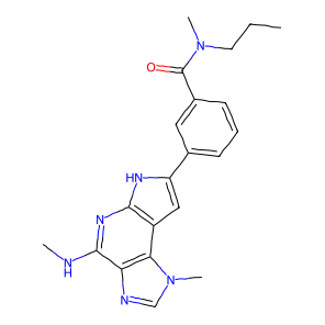 CCCN(C)C(=O)c1cccc(-c2cc3c(nc(NC)c4ncn(C)c43)[nH]2)c1